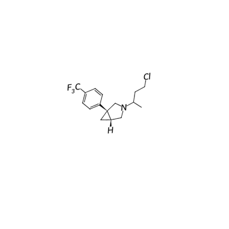 CC(CCCl)N1C[C@@H]2C[C@]2(c2ccc(C(F)(F)F)cc2)C1